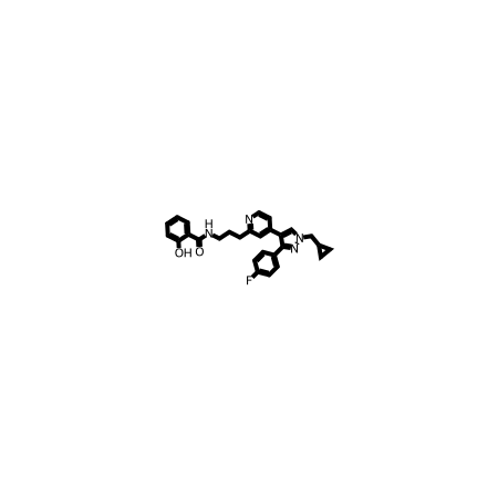 O=C(NCCCc1cc(-c2cn(CC3CC3)nc2-c2ccc(F)cc2)ccn1)c1ccccc1O